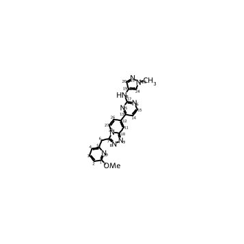 COc1cccc(Cc2nnc3cc(-c4ccnc(Nc5cnn(C)c5)n4)ccn23)n1